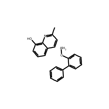 Cc1ccc2cccc(O)c2n1.[AlH2][O]c1ccccc1-c1ccccc1